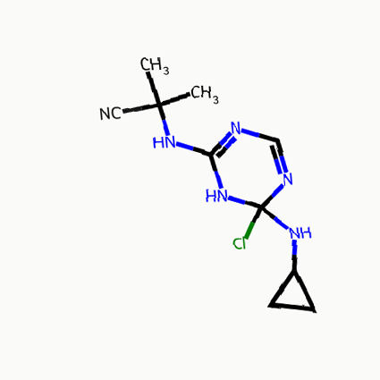 CC(C)(C#N)NC1=NC=NC(Cl)(NC2CC2)N1